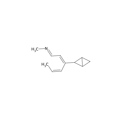 C\C=C/C(=C\C=N\C)C1C2CC21